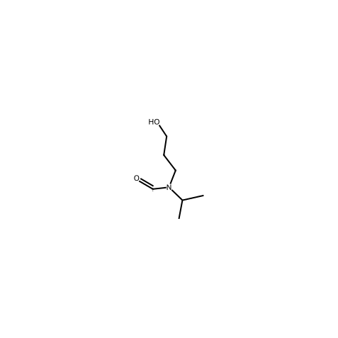 CC(C)N([C]=O)CCCO